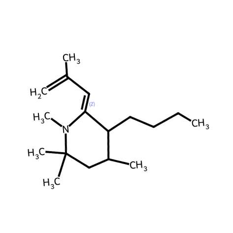 C=C(C)/C=C1/C(CCCC)C(C)CC(C)(C)N1C